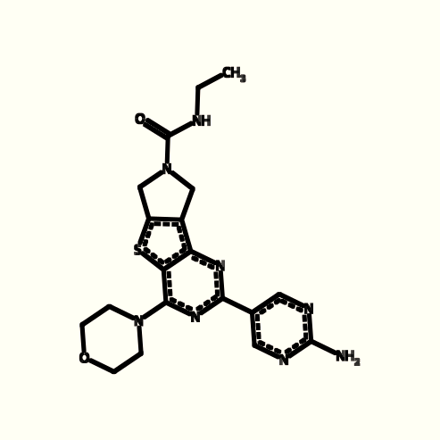 CCNC(=O)N1Cc2sc3c(N4CCOCC4)nc(-c4cnc(N)nc4)nc3c2C1